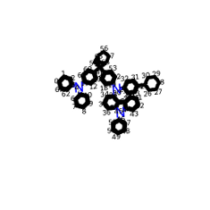 c1ccc(N(c2ccccc2)c2ccc(C3(c4ccc(N(c5ccc(C6CCCCC6)cc5)c5cccc6c5c5ccccc5n6-c5ccccc5)cc4)CC4CCC3C4)cc2)cc1